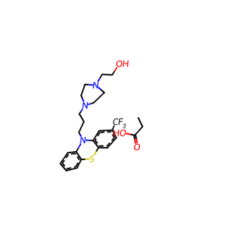 CCC(=O)O.OCCN1CCN(CCCN2c3ccccc3Sc3ccc(C(F)(F)F)cc32)CC1